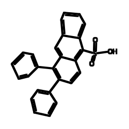 O=S(=O)(O)c1c2ccccc2cc2c(-c3ccccc3)c(-c3ccccc3)ccc12